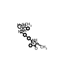 CCCCN(Cc1ncc(-c2ccc(-c3ccc(-c4cnc([C@@H]5CCCCCN5C(=O)[C@@H](c5ccccc5)N(C)C)[nH]4)cc3)cc2)[nH]1)C1C(=O)C1c1ccccc1